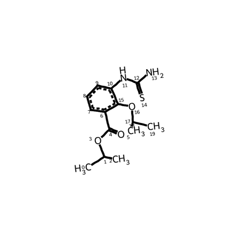 CC(C)OC(=O)c1cccc(NC(N)=S)c1OC(C)C